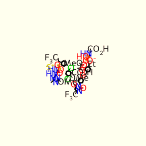 CCc1ccc(COc2ccc(-n3c(=O)cc(C(F)(F)F)n(C)c3=O)cc2)c(OC(C)C(=O)OC)c1.COc1c(Cl)ccc(Cl)c1C(=O)O.COc1nc(C)nc(NC(=O)NS(=O)(=O)c2ccccc2CCC(F)(F)F)n1.C[S+](C)C.O=C(O)CNCP(=O)([O-])O